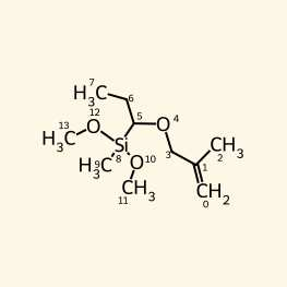 C=C(C)COC(CC)[Si](C)(OC)OC